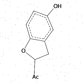 CC(=O)C1Cc2cc(O)ccc2O1